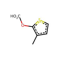 Cc1ccsc1OC(=O)O